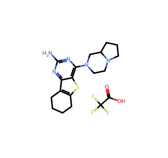 Nc1nc(N2CCN3CCCC3C2)c2sc3c(c2n1)CCCC3.O=C(O)C(F)(F)F